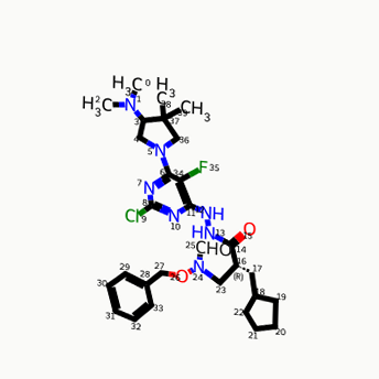 CN(C)C1CN(c2nc(Cl)nc(NNC(=O)[C@H](CC3CCCC3)CN(C=O)OCc3ccccc3)c2F)CC1(C)C